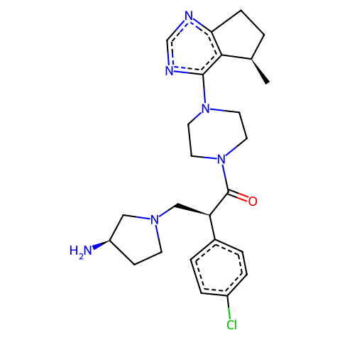 C[C@@H]1CCc2ncnc(N3CCN(C(=O)[C@H](CN4CC[C@@H](N)C4)c4ccc(Cl)cc4)CC3)c21